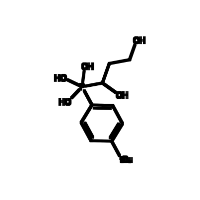 CC(C)(C)c1ccc(P(O)(O)(O)C(O)CCO)cc1